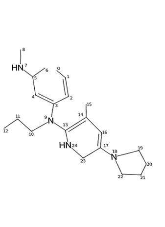 C/C=C\C(=C/C(C)NC)N(CCC)C1=C(C)C=C(N2CCCC2)CN1